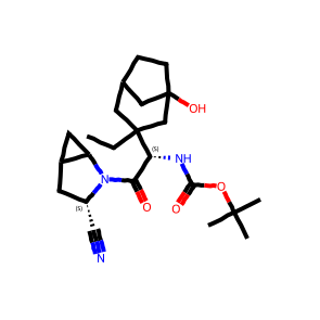 CCC1([C@H](NC(=O)OC(C)(C)C)C(=O)N2C3CC3C[C@H]2C#N)CC2CCC(O)(C2)C1